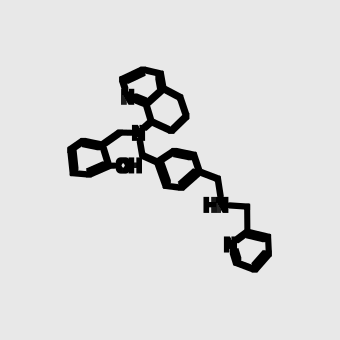 Oc1ccccc1CN(Cc1ccc(CNCc2ccccn2)cc1)C1CCCc2cccnc21